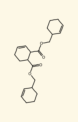 O=C(OCC1C=CCCC1)C1C=CCCC1C(=O)OCC1C=CCCC1